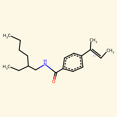 C/C=C(\C)c1ccc(C(=O)NCC(CC)CCCC)cc1